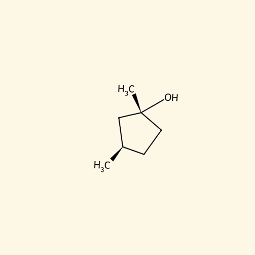 C[C@@H]1CC[C@@](C)(O)C1